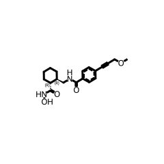 COCC#Cc1ccc(C(=O)NC[C@@H]2CCCC[C@H]2C(=O)NO)cc1